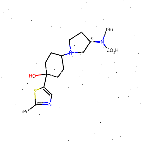 CC(C)c1ncc(C2(O)CCC(N3CC[C@@H](N(C(=O)O)C(C)(C)C)C3)CC2)s1